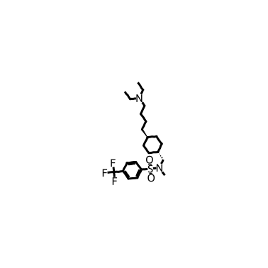 CCN(CC)CCCC[C@H]1CC[C@H](CN(C)S(=O)(=O)c2ccc(C(F)(F)F)cc2)CC1